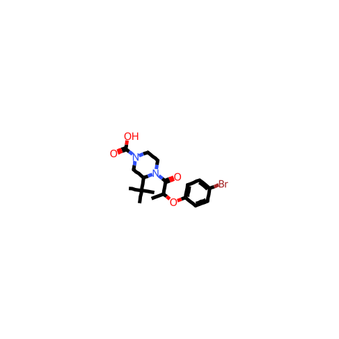 CC(Oc1ccc(Br)cc1)C(=O)N1CCN(C(=O)O)CC1C(C)(C)C